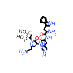 NCCCC[C@@H](NC(=O)[C@H](Cc1c[nH]cn1)NC(=O)[C@@H](N)Cc1c[nH]c2ccccc12)C(=O)N[C@@H](CC(=O)O)C(=O)O